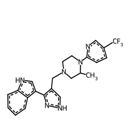 CC1CN(Cc2c[nH]nc2-c2c[nH]c3ccccc23)CCN1c1ccc(C(F)(F)F)cn1